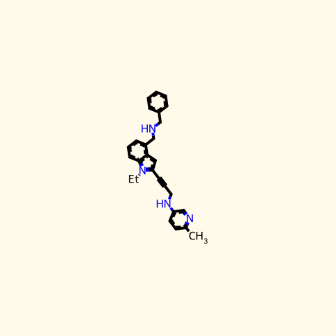 CCn1c(C#CCNc2ccc(C)nc2)cc2c(CNCc3ccccc3)cccc21